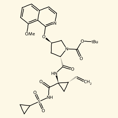 C=C[C@@H]1C[C@]1(NC(=O)[C@@H]1C[C@@H](Oc2nccc3cccc(OC)c23)CN1C(=O)OC(C)(C)C)C(=O)NS(=O)(=O)C1CC1